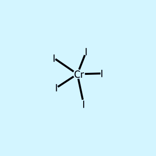 [I][Cr]([I])([I])([I])[I]